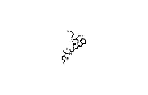 CC[C@H](C)[C@@H](CN(CC=Cc1ccccc1)CC(=O)N[C@@H](CCSC)C(=O)OC)NC(=O)[C@@H]1CCC(=O)N1